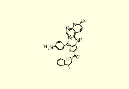 CC(C)c1ccc2c(Nc3cc(C(=O)NCC(C)c4ccccc4)sc3Sc3ccc(N)cc3)ncnc2n1